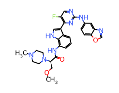 COC[C@H](C(=O)Nc1cccc2c(-c3nc(Nc4ccc5ocnc5c4)ncc3F)c[nH]c12)N1CCN(C)CC1